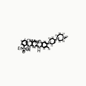 CCP(=O)(CC)c1ccccc1Nc1nc(Nc2cc(C)c(N3CCC(N4CCCN(C)CC4)CC3)cc2OC)ncc1Cl